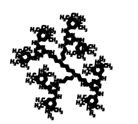 CC1(C)CC(Nc2nc(NCCCN(CCCCN(CCCNc3nc(NC4CC(C)(C)NC(C)(C)C4)nc(NC4CC(C)(C)NC(C)(C)C4)n3)CCCNc3nc(NC4CC(C)(C)NC(C)(C)C4)nc(NC4CC(C)(C)NC(C)(C)C4)n3)CCCNc3nc(NC4CC(C)(C)NC(C)(C)C4)nc(NC4CC(C)(C)NC(C)(C)C4)n3)nc(NC3CC(C)(C)NC(C)(C)C3)n2)CC(C)(C)N1